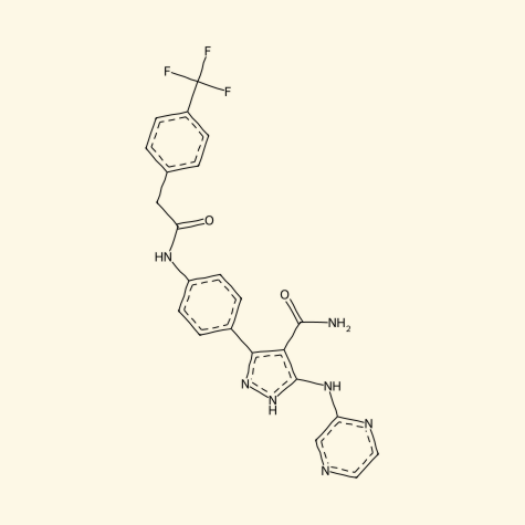 NC(=O)c1c(-c2ccc(NC(=O)Cc3ccc(C(F)(F)F)cc3)cc2)n[nH]c1Nc1cnccn1